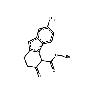 Cc1ccc2c(c1)cc1n2C(C(=O)OC(C)(C)C)C(=O)CC1